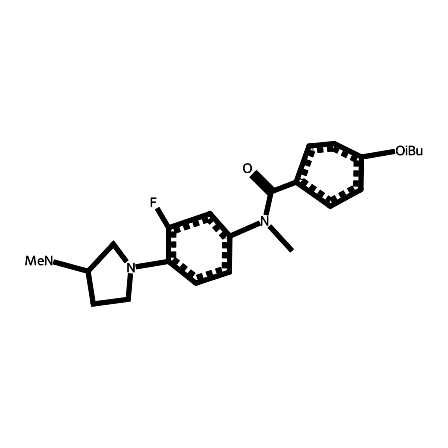 CNC1CCN(c2ccc(N(C)C(=O)c3ccc(OCC(C)C)cc3)cc2F)C1